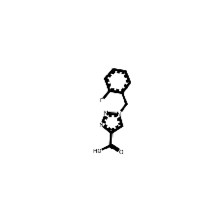 O=C(O)c1cn(Cc2ccccc2F)nn1